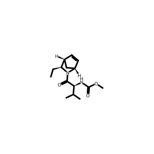 CC[C@H]1[C@@H]2C=C[C@@H](C2)N1C(=O)[C@@H](NC(=O)OC)C(C)C